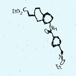 CCON=Cc1ccc(C(=O)Nc2ccc3c(c2)CC(CC(=O)OCC)CC3)cc1